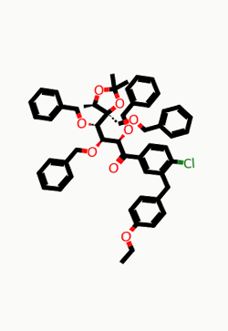 CCOc1ccc(Cc2cc(C(=O)[C@H](OCc3ccccc3)[C@@H](OCc3ccccc3)[C@H](OCc3ccccc3)[C@]3(COCc4ccccc4)OC(C)(C)O[C@@H]3C)ccc2Cl)cc1